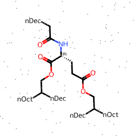 CCCCCCCCCCCC(=O)N[C@H](CCC(=O)OCC(CCCCCCCC)CCCCCCCCCC)C(=O)OCC(CCCCCCCC)CCCCCCCCCC